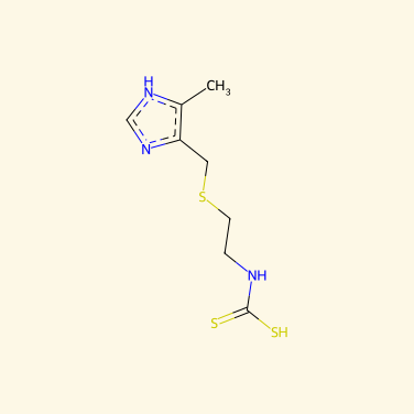 Cc1[nH]cnc1CSCCNC(=S)S